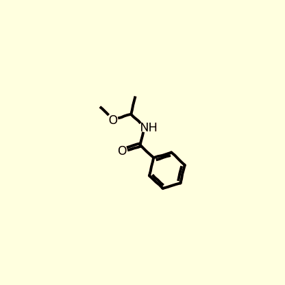 COC(C)NC(=O)c1ccccc1